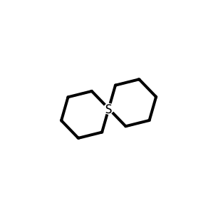 C1CCS2(CC1)CCCCC2